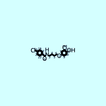 O=C(NCCCCOc1ccc(O)c(Cl)c1)c1ccc(Cl)cc1